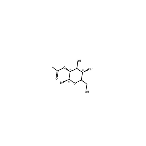 CC(=O)O[C@H]1C(O)[C@@H](O)C(CO)O[C@H]1Br